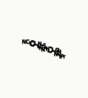 CC(C)c1noc(C2CCN(c3nn4cc(-c5ccc(C#N)cc5)nc4s3)CC2)n1